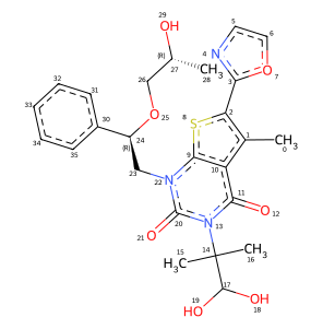 Cc1c(-c2ncco2)sc2c1c(=O)n(C(C)(C)C(O)O)c(=O)n2C[C@H](OC[C@@H](C)O)c1ccccc1